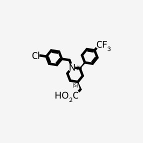 O=C(O)C[C@H]1CCN(Cc2ccc(Cl)cc2)[C@@H](C2C=CC(C(F)(F)F)=CC2)C1